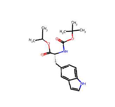 CC(C)OC(=O)[C@@H](Cc1ccc2[nH]ccc2c1)NC(=O)OC(C)(C)C